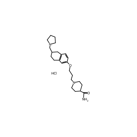 Cl.NC(=O)C1CCN(CCCOc2ccc3c(c2)CCC(CN2CCCC2)C3)CC1